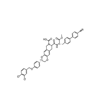 COC(=O)[C@H](Cc1ccc(-c2ccc(C#N)cc2)cc1)NC(=O)C1Cc2cc3c(cc2CN1C(=O)O)O[C@@H](c1ccc(OCc2ccc(Cl)c(Cl)c2)cc1)CO3